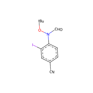 CC(C)(C)ON(C=O)c1ccc(C#N)cc1I